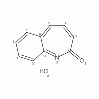 Cl.O=c1cccc2ccccc2n1